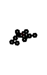 c1ccc(-c2ccc(N(c3ccccc3-c3ccc4c5ccccc5n(-c5ccc(-c6ccccc6-c6ccccc6)cc5)c4c3)c3cccc4ccccc34)cc2)cc1